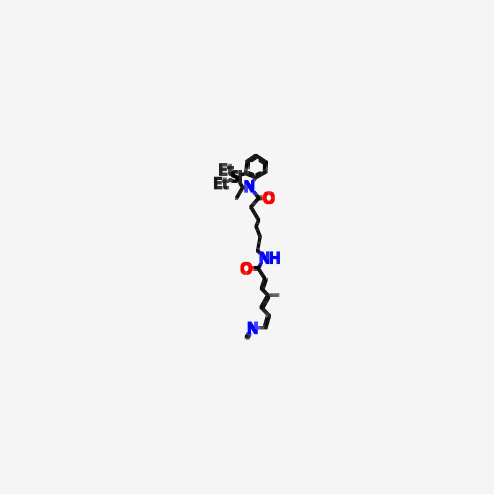 C=N\C=C/C=C(C)/C=C/C(=O)NCCCCCC(=O)N1c2ccccc2[Si](CC)(CC)C1C